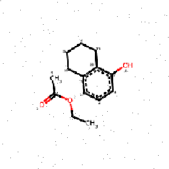 CCOC(C)=O.Oc1cccc2c1CCCC2